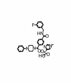 Cn1cnc(S(=O)(=O)O)c1.O=C(NCc1cccc(F)c1)c1ccc(C(=O)N2CCN(c3ccccc3)CC2)cc1